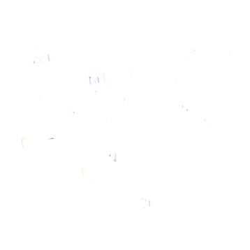 CC[Si](CC)(CC)c1cc(Br)nc(C(N)(CO)C(F)F)c1F